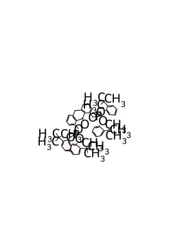 CC(C)(C)c1ccccc1OP(Oc1ccccc1C(C)(C)C)Oc1cccc2c1C(=O)c1c(cccc1OP(Oc1ccccc1C(C)(C)C)Oc1ccccc1C(C)(C)C)C2